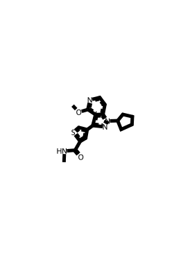 CNC(=O)c1cc(-c2nn(C3CCCC3)c3ccnc(OC)c23)cs1